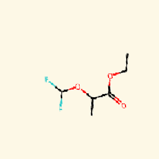 CCOC(=O)C(C)OC(F)F